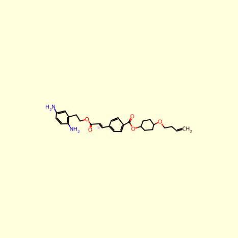 C=CCCOC1CCC(OC(=O)c2ccc(/C=C/C(=O)OCCc3cc(N)ccc3N)cc2)CC1